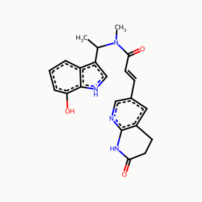 CC(c1c[nH]c2c(O)cccc12)N(C)C(=O)/C=C/c1cnc2c(c1)CCC(=O)N2